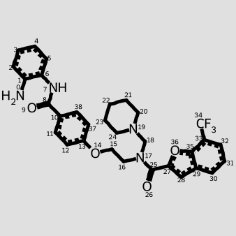 Nc1ccccc1NC(=O)c1ccc(OCCN(CN2CCCCC2)C(=O)c2cc3cccc(C(F)(F)F)c3o2)cc1